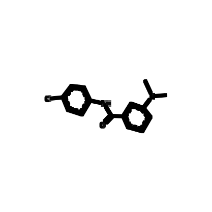 CN(C)c1cccc(C(=O)Nc2ccc(Cl)cc2)c1